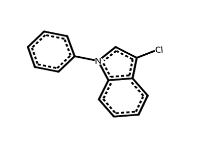 Clc1cn(-c2ccccc2)c2ccccc12